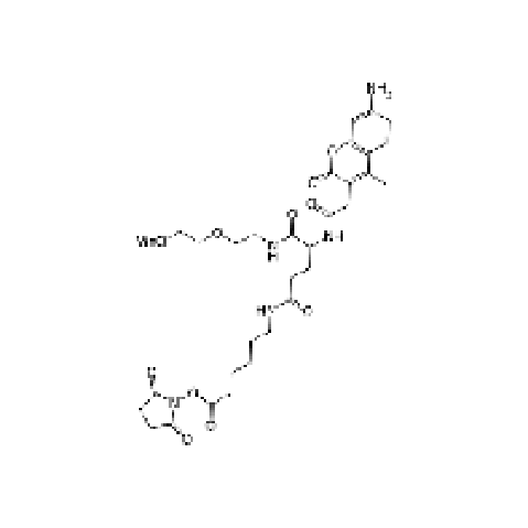 COCCOCCNC(=O)C(CCC(=O)NCCCCCC(=O)ON1C(=O)CCC1=O)NC(=O)Cc1c(C)c2ccc(N)cc2oc1=O